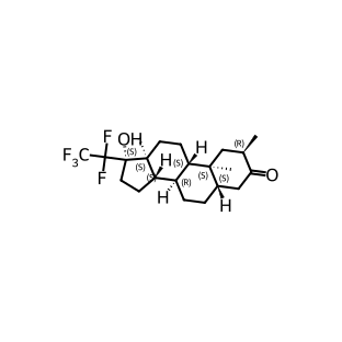 C[C@@H]1C[C@@]2(C)[C@@H](CC[C@@H]3[C@@H]2CC[C@@]2(C)[C@H]3CC[C@@]2(O)C(F)(F)C(F)(F)F)CC1=O